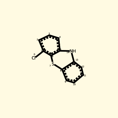 Clc1cccc2c1Sc1ccccc1N2